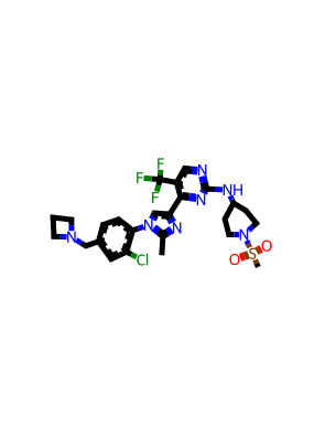 Cc1nc(-c2nc(NC3CCN(S(C)(=O)=O)CC3)ncc2C(F)(F)F)cn1-c1ccc(CN2CCC2)cc1Cl